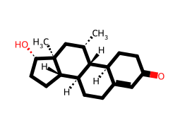 C[C@H]1C[C@]2(C)[C@@H](O)CC[C@H]2[C@@H]2CCC3=CC(=O)CC[C@@H]3[C@H]21